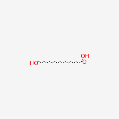 OCCCCCCCCCCCCCCCCC1OC1O